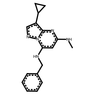 CNc1cc(NCc2ccccc2)n2ncc(C3CC3)c2n1